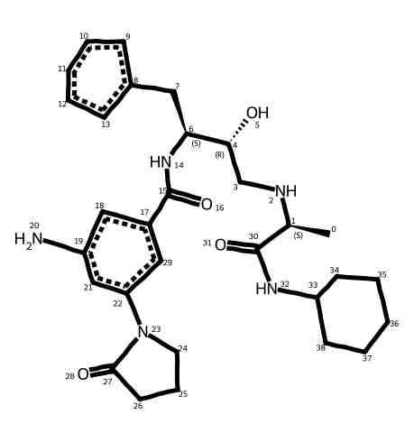 C[C@H](NC[C@@H](O)[C@H](Cc1ccccc1)NC(=O)c1cc(N)cc(N2CCCC2=O)c1)C(=O)NC1CCCCC1